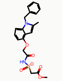 COC(=O)CS(=O)(=O)NC(=O)COc1cccc2c1cc(C)n2Cc1ccccc1